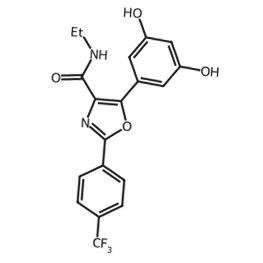 CCNC(=O)c1nc(-c2ccc(C(F)(F)F)cc2)oc1-c1cc(O)cc(O)c1